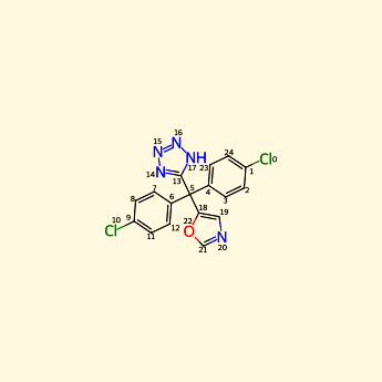 Clc1ccc(C(c2ccc(Cl)cc2)(c2nnn[nH]2)c2cnco2)cc1